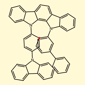 c1ccc(-c2cccc(-n3c4ccccc4c4ccc5c6ccccc6n(-c6ccc(-n7c8ccccc8c8ccccc87)cc6)c5c43)c2)cc1